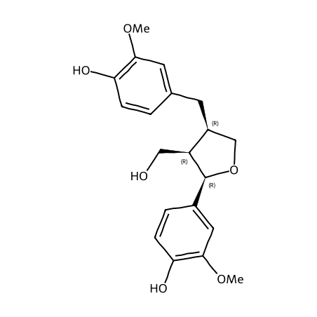 COc1cc(C[C@H]2CO[C@@H](c3ccc(O)c(OC)c3)[C@H]2CO)ccc1O